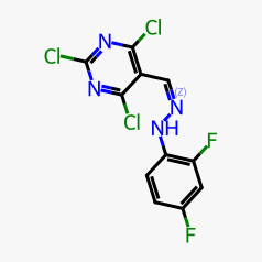 Fc1ccc(N/N=C\c2c(Cl)nc(Cl)nc2Cl)c(F)c1